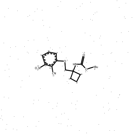 CC(C)(C)OC(=O)NC1(COc2cccc([N+](=O)[O-])c2C#N)CCC1